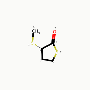 CS[C@H]1CCSC1=O